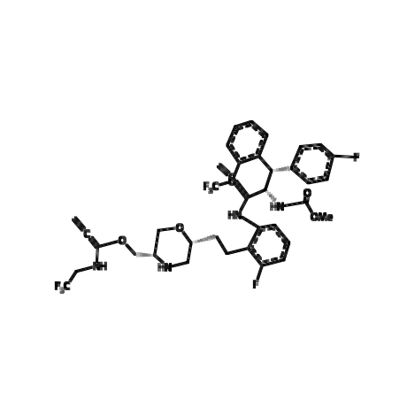 C=C=C(NCC(F)(F)F)OC[C@@H]1CO[C@H](CCc2c(F)cccc2NC(=C=C)[C@@H](NC(=O)OC)[C@@H](c2ccc(F)cc2)c2ccccc2OC(F)(F)F)CN1